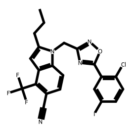 CCCc1cc2c(C(F)(F)F)c(C#N)ccc2n1Cc1noc(-c2cc(I)ccc2Cl)n1